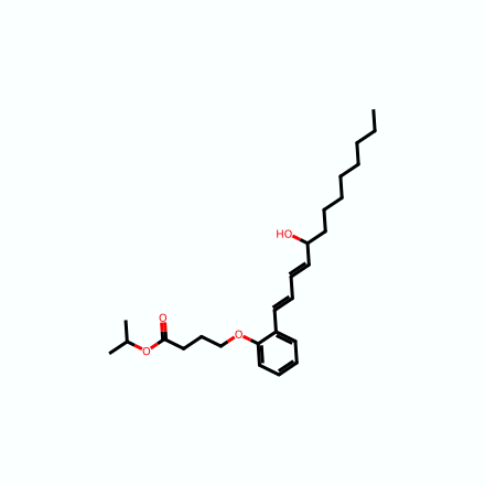 CCCCCCCCC(O)/C=C/C=C/c1ccccc1OCCCC(=O)OC(C)C